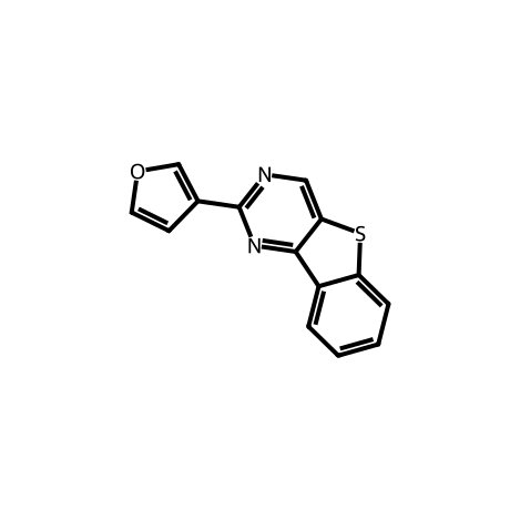 c1ccc2c(c1)sc1cnc(-c3ccoc3)nc12